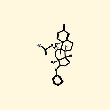 CC(=O)O[C@H]1C[C@]2(C)[C@H](Oc3ccccc3)CC[C@H]2[C@@H]2CCC3=CC(=O)C=C[C@]3(C)[C@@]12F